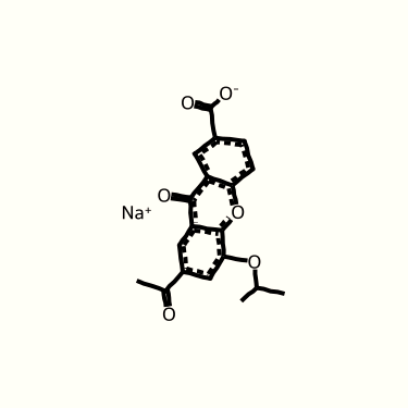 CC(=O)c1cc(OC(C)C)c2oc3ccc(C(=O)[O-])cc3c(=O)c2c1.[Na+]